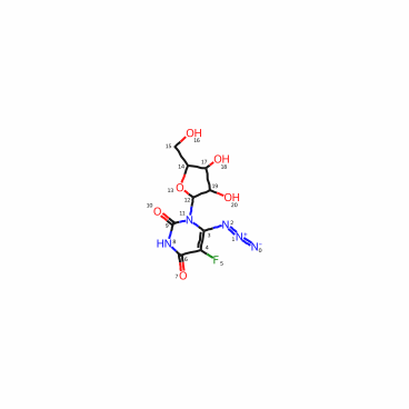 [N-]=[N+]=Nc1c(F)c(=O)[nH]c(=O)n1C1OC(CO)C(O)C1O